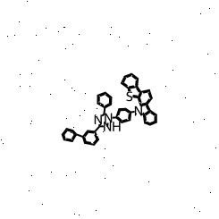 c1ccc(-c2cccc(C3=NC(c4ccccc4)N(c4ccc(-n5c6ccccc6c6ccc7c8ccccc8sc7c65)cc4)N3)c2)cc1